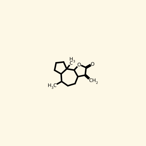 C=C1C(=O)OC2C1CCC(C)C1CCCC12C